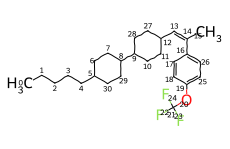 CCCCCC1CCC(C2CCC(C=C(C)c3ccc(OC(F)(F)F)cc3)CC2)CC1